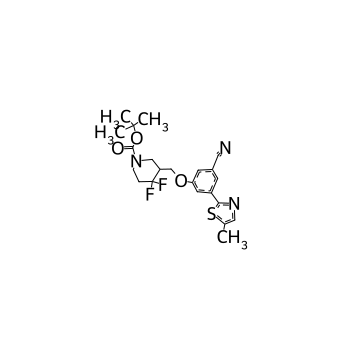 Cc1cnc(-c2cc(C#N)cc(OCC3CN(C(=O)OC(C)(C)C)CCC3(F)F)c2)s1